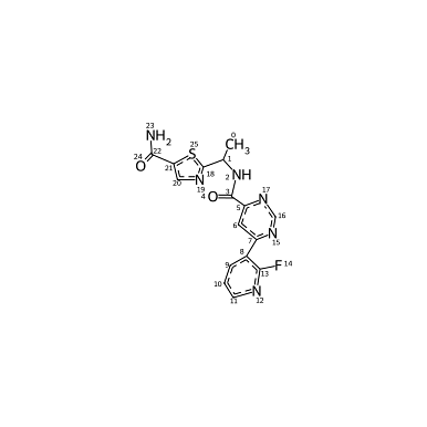 CC(NC(=O)c1cc(-c2cccnc2F)ncn1)c1ncc(C(N)=O)s1